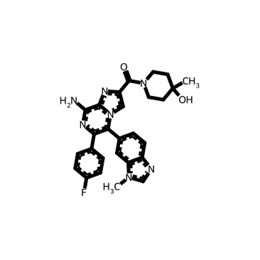 Cn1cnc2ccc(-c3c(-c4ccc(F)cc4)nc(N)c4nc(C(=O)N5CCC(C)(O)CC5)cn34)cc21